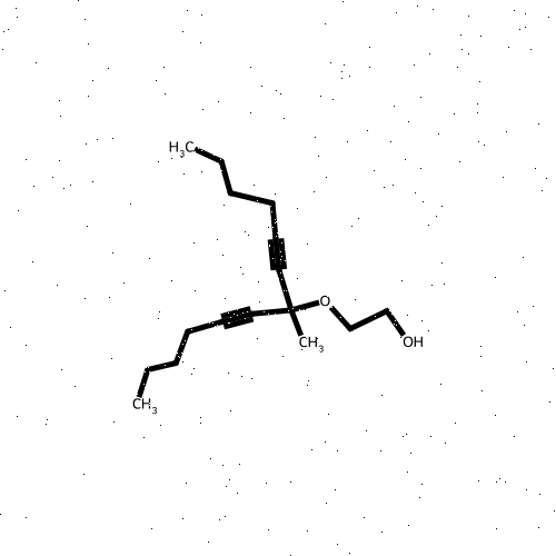 CCCCC#CC(C)(C#CCCCC)OCCO